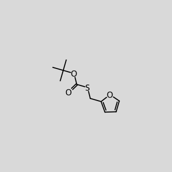 CC(C)(C)OC(=O)SCc1ccco1